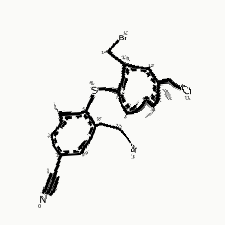 N#Cc1ccc(Sc2ccc(Cl)cc2CBr)c(CBr)c1